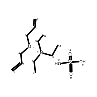 C=CCOCC=C.CCN(CC)CC.O=S(=O)(O)O